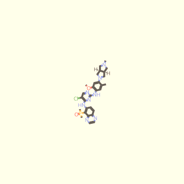 COc1cc(N2C[C@H]3CN(C)C[C@H]3C2)c(C)cc1Nc1ncc(Cl)c(Nc2ccc3nccnc3c2P(C)(C)=O)n1